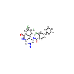 CN(C(=O)c1ccc(-c2ccccc2)cc1F)[C@@H]1CNCc2[nH]c(=O)c3cc(F)c(F)cc3c21